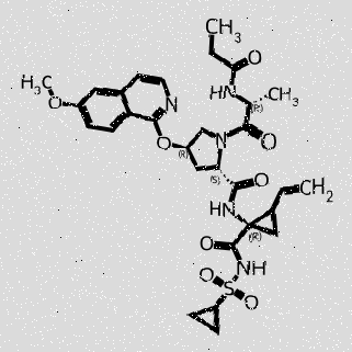 C=CC1C[C@]1(NC(=O)[C@@H]1C[C@@H](Oc2nccc3cc(OC)ccc23)CN1C(=O)[C@@H](C)NC(=O)CC)C(=O)NS(=O)(=O)C1CC1